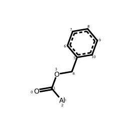 O=[C]([Al])OCc1ccccc1